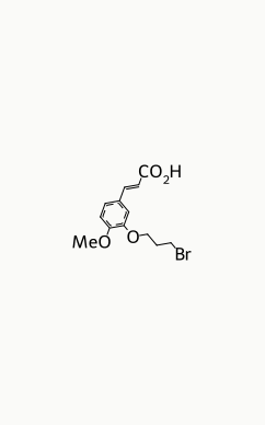 COc1ccc(C=CC(=O)O)cc1OCCCBr